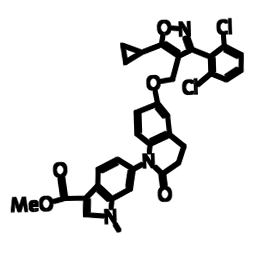 COC(=O)c1cn(C)c2cc(N3C(=O)CCc4cc(OCc5c(-c6c(Cl)cccc6Cl)noc5C5CC5)ccc43)ccc12